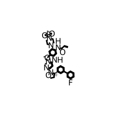 C=CC(=O)Nc1cc(Nc2cc(N3OCC[C@@H]3c3cccc(-c4cccc(F)c4)c3)ncn2)c(OC)cc1N1CCN(S(C)(=O)=O)CC1